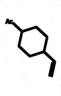 C=CC1CCC(C(C)=O)CC1